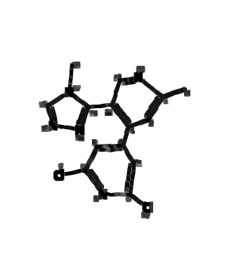 Cc1cc(-c2cc(Cl)nc(Cl)c2)c(-c2nncn2C)cn1